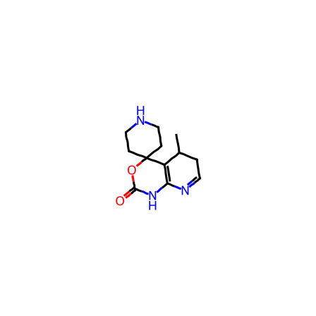 CC1CC=NC2=C1C1(CCNCC1)OC(=O)N2